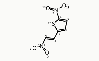 O=[N+]([O-])/C=C/c1ccc([N+](=O)[O-])s1